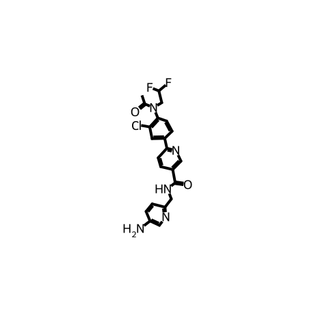 CC(=O)N(CC(F)F)c1ccc(-c2ccc(C(=O)NCc3ccc(N)cn3)cn2)cc1Cl